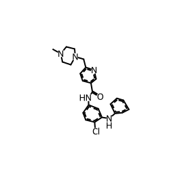 CN1CCN(Cc2ccc(C(=O)Nc3ccc(Cl)c(Nc4ccccc4)c3)cn2)CC1